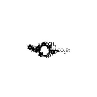 CCOC(=O)CCc1cccc(C2(C)CCS(=O)(=O)CCn3ccc(n3)Cc3c(c(F)cc4c3ccn4S(=O)(=O)c3ccccc3)Oc3ccc(F)c(c3)-c3nc2nn3C)c1